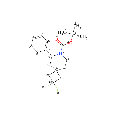 CC(C)(C)OC(=O)N1CCC2(CC1c1ccccc1)CC(F)(F)C2